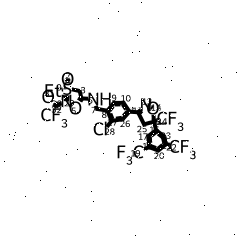 CCS(=O)(CC(=O)NCc1ccc(C2=NOC(c3cc(C(F)(F)F)cc(C(F)(F)F)c3)(C(F)(F)F)C2)cc1Cl)=NC(=O)C(F)(F)F